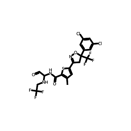 Cc1cc(C2=NOC(c3cc(Cl)cc(Cl)c3)(C(F)(F)F)C2)sc1C(=O)NC(C=O)NCC(F)(F)F